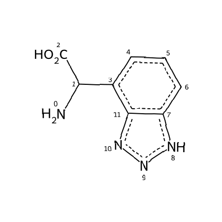 NC(C(=O)O)c1cccc2[nH]nnc12